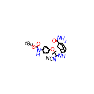 CC(C)(C)OC(=O)Nc1ccc(OC(C)(C)/C(=N\C#N)NC2C3CC4CC2CC(C(N)=O)(C4)C3)cc1